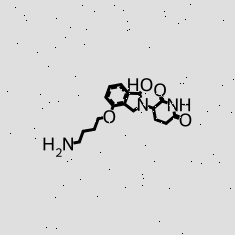 NCCCCOc1cccc2c1CN(C1CCC(=O)NC1=O)C2O